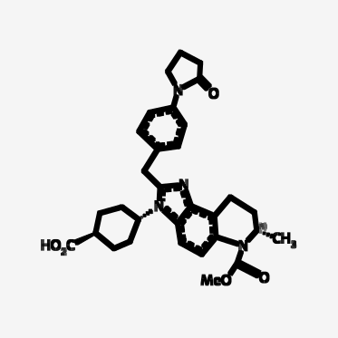 COC(=O)N1c2ccc3c(nc(Cc4ccc(N5CCCC5=O)cc4)n3[C@H]3CC[C@H](C(=O)O)CC3)c2CC[C@@H]1C